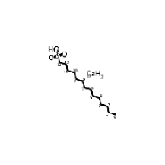 CCCCCCCCCCCCCCS(=O)(=O)O.[CaH2]